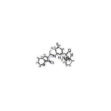 CCn1c(/C(C)=N/c2cc(C(=O)N3CC4CC[C@@H]3C4N)cc(F)c2C)cc2cccnc21